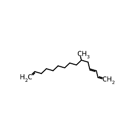 C=CC=CCC(C)CCCCCCCC=C